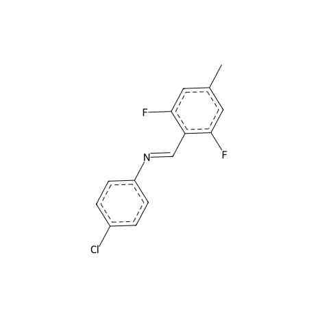 Cc1cc(F)c(/C=N/c2ccc(Cl)cc2)c(F)c1